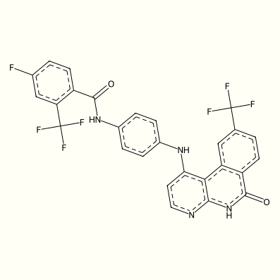 O=C(Nc1ccc(Nc2ccnc3[nH]c(=O)c4ccc(C(F)(F)F)cc4c23)cc1)c1ccc(F)cc1C(F)(F)F